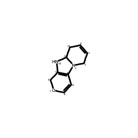 C1=CCN2C3=C(COC=C3)NC2C1